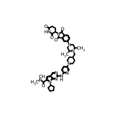 CC1CN(c2ccc3c(c2)C(=O)N(C2CCC(=O)NC2=O)C3=O)CC(C)N1CC1CCN(c2ccc(Nc3ncc4cc(C(=O)N(C)C)n(C5CCCC5)c4n3)nc2)CC1